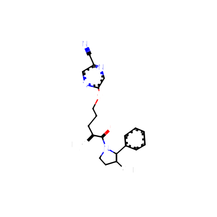 C=C(CCCOc1cnc(C#N)cn1)C(=O)N1CCC(C)C1c1ccccc1